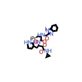 CC(C)CC(NC(=O)c1nc2ccccc2n1I)C(=O)NC(Cc1ccc[nH]c1=O)C(=O)C(=O)NC1CC1